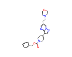 O=C(OCc1ccccc1)N1CC=C(c2cnn3cc(CCN4CCOCC4)cnc23)CC1